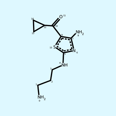 NCCCNc1nc(N)c(C(=O)C2CC2)s1